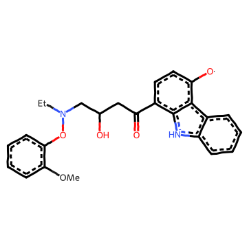 CCN(CC(O)CC(=O)c1ccc([O])c2c1[nH]c1ccccc12)Oc1ccccc1OC